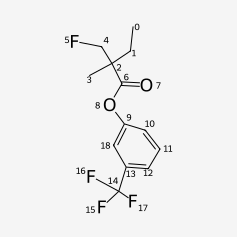 CCC(C)(CF)C(=O)Oc1cccc(C(F)(F)F)c1